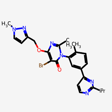 Cc1ccc(-c2ccnc(C(C)C)n2)cc1-n1c(C)nc(OCc2ccn(C)n2)c(Br)c1=O